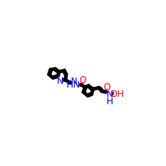 O=C(/C=C/c1cccc(C(=O)N/N=C/c2ccc3ccccc3n2)c1)NO